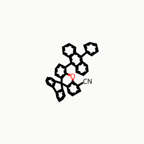 N#Cc1cccc2c1Oc1c(-c3c4ccccc4c(-c4ccccc4)c4ccccc34)cccc1C21c2ccccc2-c2ccccc21